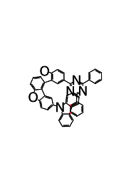 c1ccc(-c2nc(-c3ccccc3)nc(-c3ccc4oc5ccc6oc7ccc(-n8c9ccccc9c9ccccc98)cc7c6c5c4c3)n2)cc1